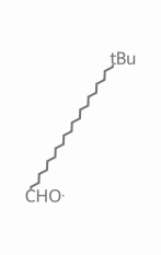 CC(C)(C)CCCCCCCCCCCCCCCCCCCC[C]=O